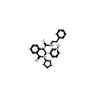 O=C(NCCc1ccccc1)[C@@H]1c2ccccc2C(=O)N(C2CCCC2)[C@H]1c1ccc[n+]([O-])c1